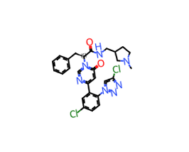 CN1CCC(CNC(=O)[C@H](Cc2ccccc2)n2cnc(-c3cc(Cl)ccc3-n3cc(Cl)nn3)cc2=O)C1